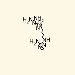 NC(N)=Nc1nc(CCCCNc2nsnc2N)co1